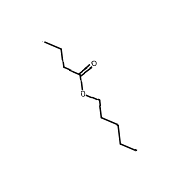 [CH2]CCC(=O)OCCCCC